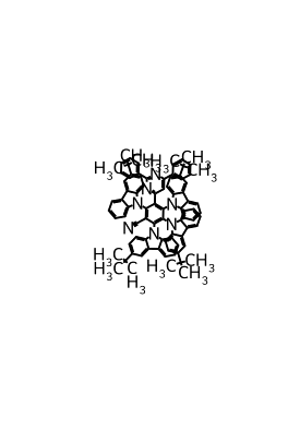 CC(C)(C)c1ccc2c(c1)c1ccccc1n2-c1c(C#N)c(-n2c3ccccc3c3cc(C(C)(C)C)ccc32)c(-n2c3ccccc3c3cc(C(C)(C)C)ccc32)c(-n2c3ccccc3c3cc(C(C)(C)C)ccc32)c1-c1cc(-c2ccccc2)nc(-c2ccccc2)n1